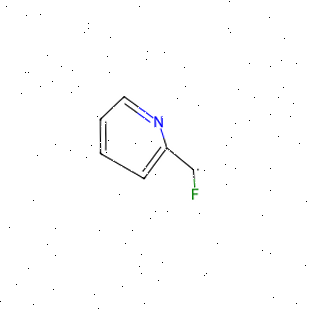 F[CH]c1ccccn1